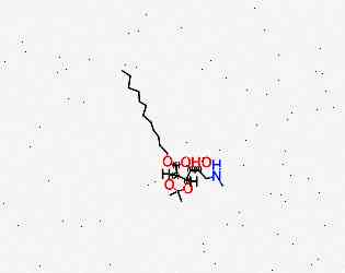 CCCCCCCCCCCCO[C@H]1O[C@H]([C@H](O)CNC)[C@@H]2OC(C)(C)O[C@H]12